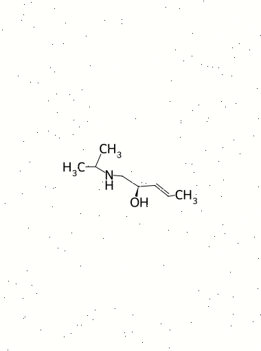 C/C=C/[C@@H](O)CNC(C)C